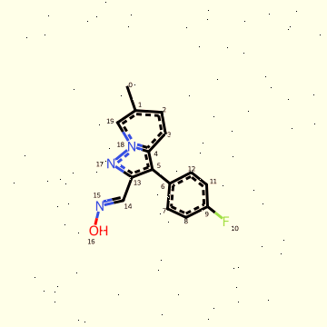 Cc1ccc2c(-c3ccc(F)cc3)c(C=NO)nn2c1